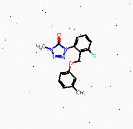 Cc1cccc(OCc2c(F)cccc2-n2nnn(C)c2=O)c1